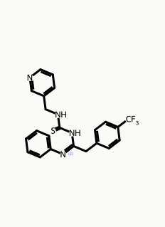 FC(F)(F)c1ccc(C/C(=N/c2ccccc2)NC(=S)NCc2cccnc2)cc1